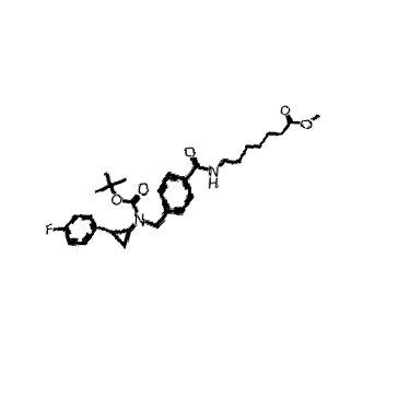 COC(=O)CCCCCCNC(=O)c1ccc(CN(C(=O)OC(C)(C)C)C2CC2c2ccc(F)cc2)cc1